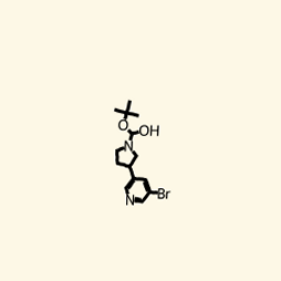 CC(C)(C)OC(O)N1CCC(c2cncc(Br)c2)C1